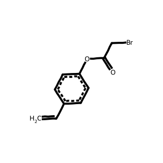 C=Cc1ccc(OC(=O)CBr)cc1